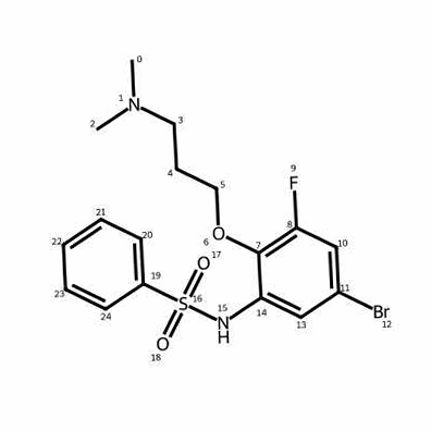 CN(C)CCCOc1c(F)cc(Br)cc1NS(=O)(=O)c1ccccc1